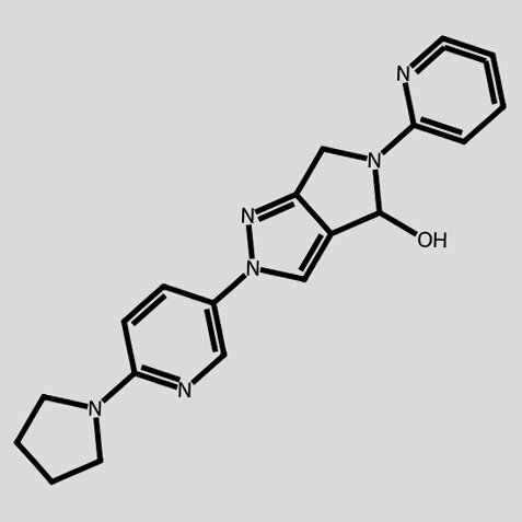 OC1c2cn(-c3ccc(N4CCCC4)nc3)nc2CN1C1=CC=C=C=N1